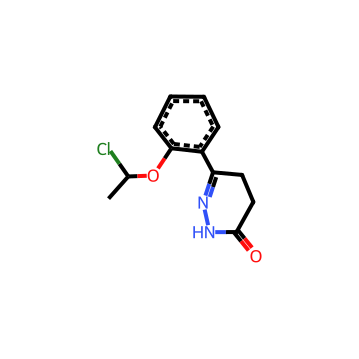 CC(Cl)Oc1ccccc1C1=NNC(=O)CC1